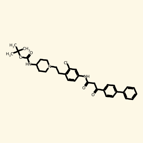 CC(C)(C)OC(=O)NC1CCN(CCc2ccc(NC(=O)CC(=O)c3ccc(-c4ccccc4)cc3)cc2Cl)CC1